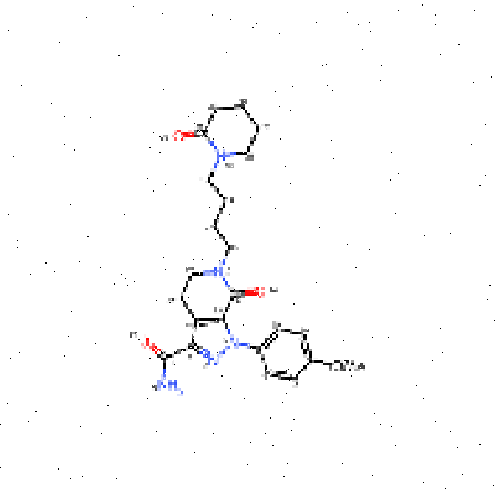 COc1ccc(-n2nc(C(N)=O)c3c2C(=O)N(CCCCN2CCCCC2=O)CC3)cc1